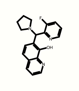 Oc1c(C(c2ncccc2F)N2CCCC2)ccc2cccnc12